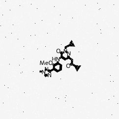 COc1c(Nc2cc(CC(=O)C3CC3)nn(CC3CC3)c2=O)cccc1-c1ncn(C)n1